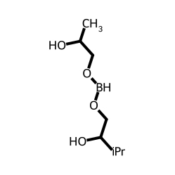 CC(O)COBOCC(O)C(C)C